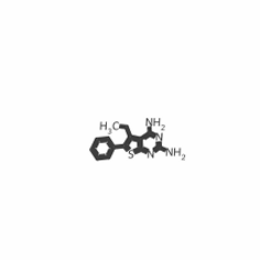 CCc1c(-c2ccccc2)sc2nc(N)nc(N)c12